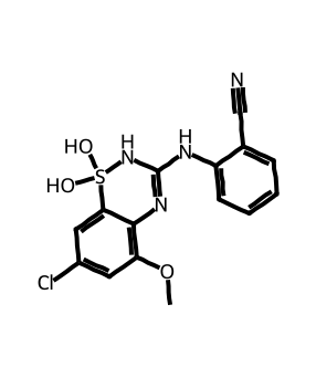 COc1cc(Cl)cc2c1N=C(Nc1ccccc1C#N)NS2(O)O